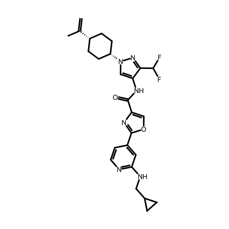 C=C(C)[C@H]1CC[C@@H](n2cc(NC(=O)c3coc(-c4ccnc(NCC5CC5)c4)n3)c(C(F)F)n2)CC1